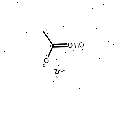 CC(=O)[O-].[OH-].[Zr+2]